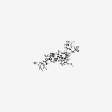 C=C(C)[C@@H]1CC[C@]2(NC[C@H](CNC(=O)OCC)N3CCS(=O)(=O)CC3)CC[C@]3(C)[C@H](CC[C@@H]4[C@@]5(C)CC[C@H](OC(=O)CC(C)(C)C(=O)O)C(C)(C)[C@@H]5CC[C@]43C)[C@@H]12